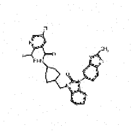 Cc1nc2cc(-n3c(=O)n(CC4CCC(NC(=O)c5cc(Cl)cnc5C(F)F)CC4)c4cccnc43)ccc2s1